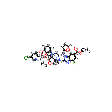 COC(=O)c1cc(F)c2nc(CN3CCN(c4cccc5c4OC(C)(c4ccc(Cl)cn4)O5)[C@H]4COC[C@H]43)n(C[C@@H]3CCCO3)c2c1